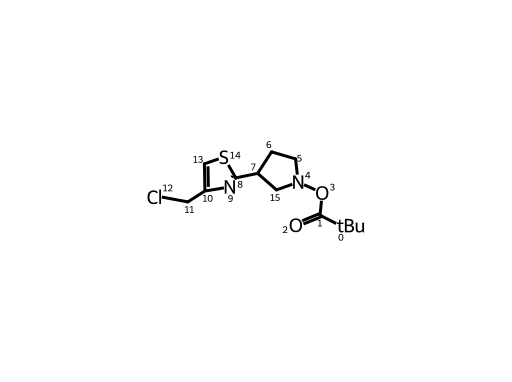 CC(C)(C)C(=O)ON1CCC(c2nc(CCl)cs2)C1